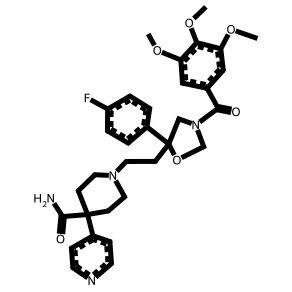 COc1cc(C(=O)N2COC(CCN3CCC(C(N)=O)(c4ccncc4)CC3)(c3ccc(F)cc3)C2)cc(OC)c1OC